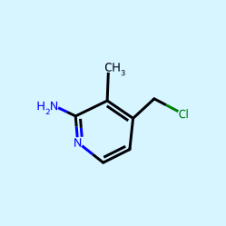 Cc1c(CCl)ccnc1N